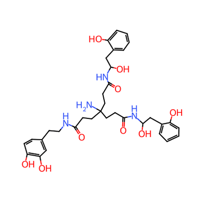 NC(CCC(=O)NCCc1ccc(O)c(O)c1)(CCC(=O)NC(O)Cc1ccccc1O)CCC(=O)NC(O)Cc1ccccc1O